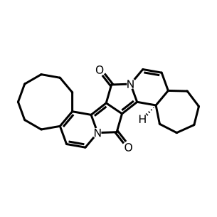 O=C1C2=C3[C@@H]4CCCCCC4C=CN3C(=O)C2=C2C3=C(C=CN12)CCCCCCC3